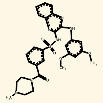 COc1cc(Nc2nc3ccccc3nc2NS(=O)(=O)c2cccc(C(=O)N3CCN(C)CC3)c2)cc(OC)c1